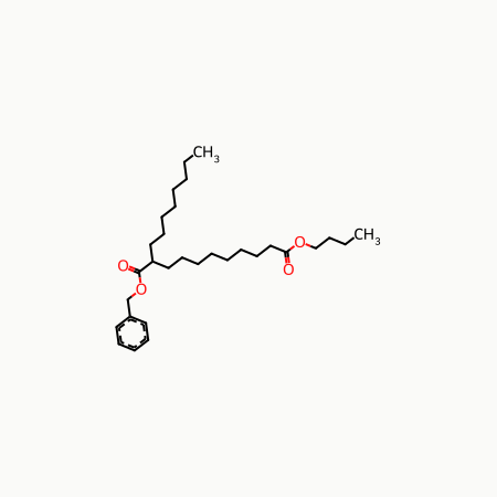 CCCCCCCCC(CCCCCCCCC(=O)OCCCC)C(=O)OCc1ccccc1